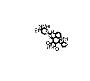 CCC1(NC)CCN(c2nc(C3=C(c4c[nH]c5sccc45)C(=O)NC3=O)c3ccccc3n2)CC1